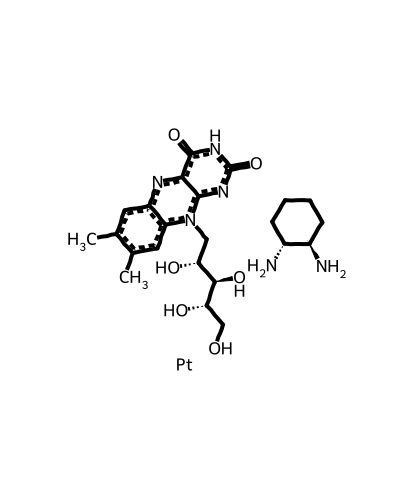 Cc1cc2nc3c(=O)[nH]c(=O)nc-3n(C[C@@H](O)[C@@H](O)[C@@H](O)CO)c2cc1C.N[C@@H]1CCCC[C@H]1N.[Pt]